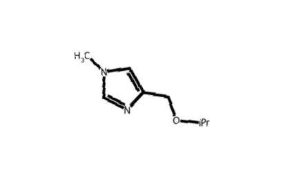 CC(C)OCc1cn(C)cn1